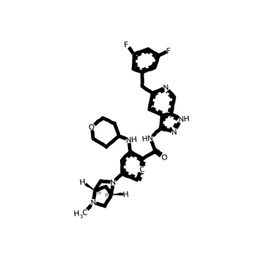 CN1C[C@@H]2C[C@H]1CN2c1ccc(C(=O)Nc2n[nH]c3cnc(Cc4cc(F)cc(F)c4)cc23)c(NC2CCOCC2)c1